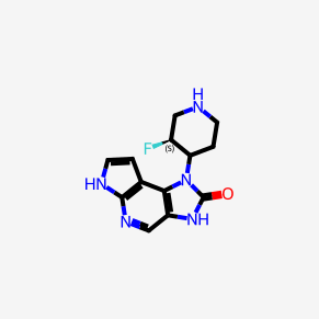 O=c1[nH]c2cnc3[nH]ccc3c2n1C1CCNC[C@@H]1F